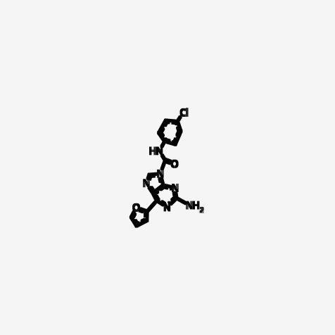 Nc1nc(-c2ccco2)c2ncn(C(=O)Nc3ccc(Cl)cc3)c2n1